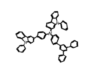 c1ccc(-c2cc(-c3ccccc3)cc(-c3ccc(N(c4ccc(-c5ccc6c(c5)c5ccccc5n6-c5ccccc5)cc4)c4ccc5c6ccccc6n(-c6ccccc6)c5c4)cc3)c2)cc1